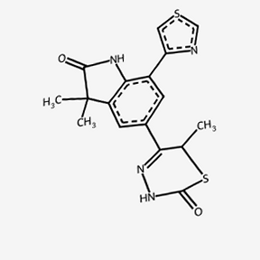 CC1SC(=O)NN=C1c1cc(-c2cscn2)c2c(c1)C(C)(C)C(=O)N2